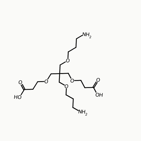 NCCCOCC(COCCCN)(COCCC(=O)O)COCCC(=O)O